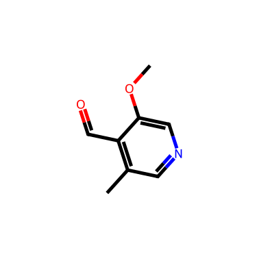 COc1cncc(C)c1C=O